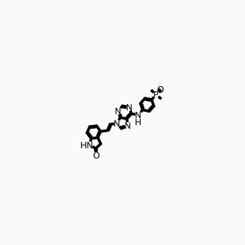 CP(C)(=O)c1ccc(Nc2ncnc3c2ncn3C=Cc2cccc3c2CC(=O)N3)cc1